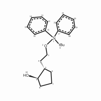 CC(C)(C)[Si](OCC[C@@H]1CCC[C@H]1O)(c1ccccc1)c1ccccc1